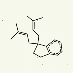 CC(C)=CCC1(CC=C(C)C)CCc2ccccc21